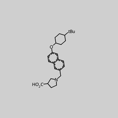 CC(C)(C)C1CCC(Oc2ccc3cc(CN4CCC(C(=O)O)C4)ccc3c2)CC1